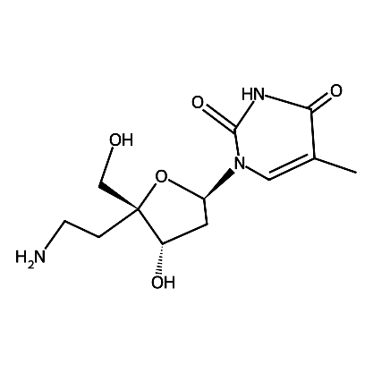 Cc1cn([C@H]2C[C@H](O)[C@](CO)(CCN)O2)c(=O)[nH]c1=O